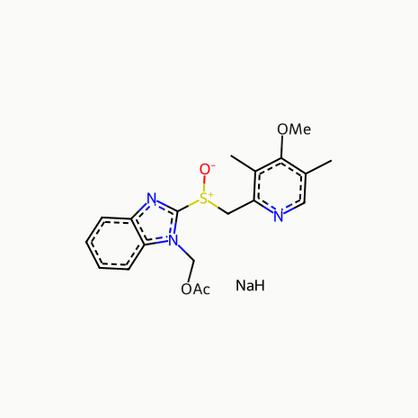 COc1c(C)cnc(C[S+]([O-])c2nc3ccccc3n2COC(C)=O)c1C.[NaH]